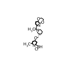 Cc1cc(OC[C@H]2CCCN([C@H](C)c3ccc4c(n3)OCCO4)C2)cc(BCl)n1